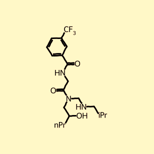 CCCC(O)CN(CNCC(C)C)C(=O)CNC(=O)c1cccc(C(F)(F)F)c1